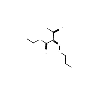 CCCON=C(C(C)=O)C(=O)OCC